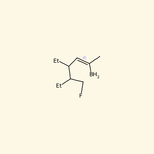 B/C(C)=C\C(CC)C(CC)CF